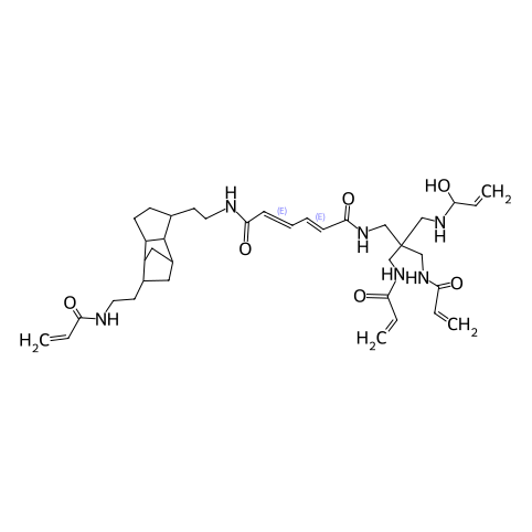 C=CC(=O)NCCC1CC2CC1C1CCC(CCNC(=O)/C=C/C=C/C(=O)NCC(CNC(=O)C=C)(CNC(=O)C=C)CNC(O)C=C)C21